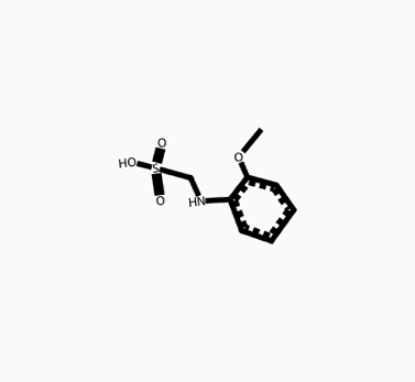 COc1ccccc1NCS(=O)(=O)O